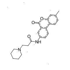 Cc1ccc2c(c1)oc(=O)c1cc(NC(=O)CCN3CCCCC3)ccc12